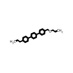 C=CCOCc1ccc(-c2ccc(-c3ccc(CC=C)cc3)cc2)cc1